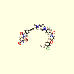 N#Cc1ccc(OC2CCN(C(=O)c3ccc(N4CCC(CN5CC(C#Cc6ccc7c(c6)CN(C6CCC(=O)NC6=O)C7=O)C5)CC4)cc3)CC2)cc1Cl